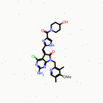 COc1c(C)cnc(CN2C(=O)/C(=C\c3nc(C(=O)N4CCC(O)CC4)c[nH]3)c3c(Cl)nc(N)nc32)c1C